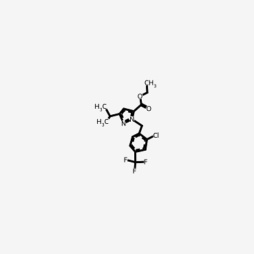 CCOC(=O)c1cc(C(C)C)nn1Cc1ccc(C(F)(F)F)cc1Cl